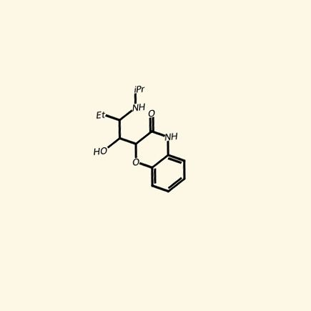 CCC(NC(C)C)C(O)C1Oc2ccccc2NC1=O